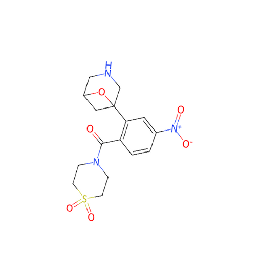 O=C(c1ccc([N+](=O)[O-])cc1C12CNCC(C1)O2)N1CCS(=O)(=O)CC1